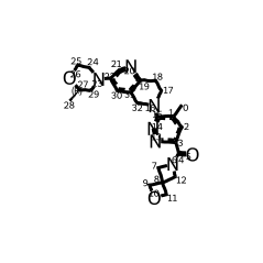 Cc1cc(C(=O)N2CC3(COC3)C2)nnc1N1CCc2ncc(N3CCO[C@H](C)C3)cc2C1